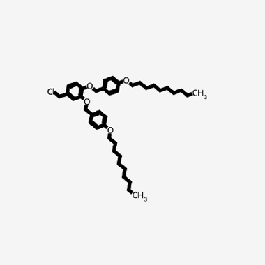 CCCCCCCCCCOc1ccc(COc2ccc(CCl)cc2OCc2ccc(OCCCCCCCCCC)cc2)cc1